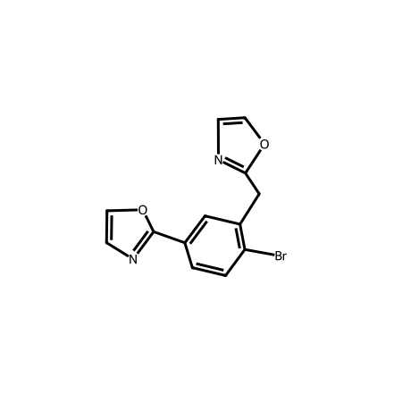 Brc1ccc(-c2ncco2)cc1Cc1ncco1